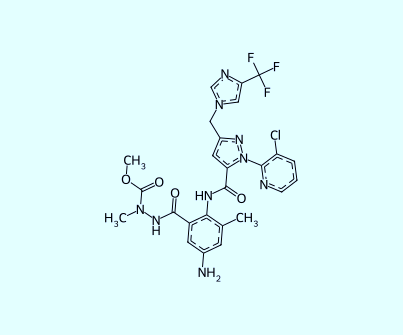 COC(=O)N(C)NC(=O)c1cc(N)cc(C)c1NC(=O)c1cc(Cn2cnc(C(F)(F)F)c2)nn1-c1ncccc1Cl